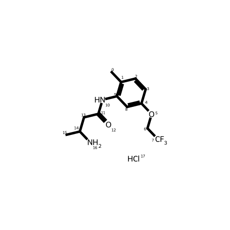 Cc1ccc(OCC(F)(F)F)cc1NC(=O)CC(C)N.Cl